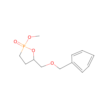 COP1(=O)CCC(COCc2ccccc2)O1